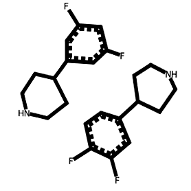 Fc1cc(F)cc(C2CCNCC2)c1.Fc1ccc(C2CCNCC2)cc1F